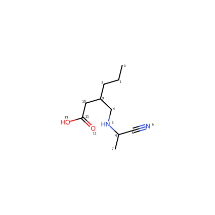 CCCC(CNC(C)C#N)CC(=O)O